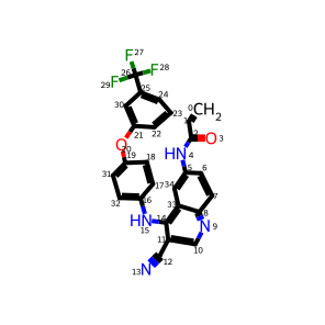 C=CC(=O)Nc1ccc2ncc(C#N)c(Nc3ccc(Oc4cccc(C(F)(F)F)c4)cc3)c2c1